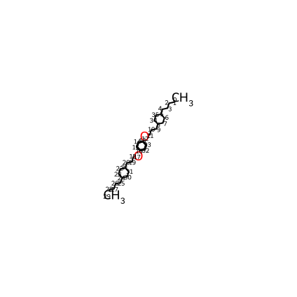 CCCCCC1CCC(CCCOc2ccc(OCCCC3CCC(CCCCC)CC3)cc2)CC1